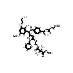 COc1cc(OCCO)c(F)c([C@@H](Nc2ccc(/C(N)=N/C(=O)OCC(C)(C)C)cc2)c2nc(OCOC(=O)C(C)(C)C(=O)OC(C)(C)C)n(-c3ncccn3)n2)c1